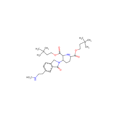 C[Si](C)(C)CCOC(=O)C1CCC(N2Cc3ccc(CCNC(=O)O)cc3C2=O)C(C(=O)OCC[Si](C)(C)C)N1